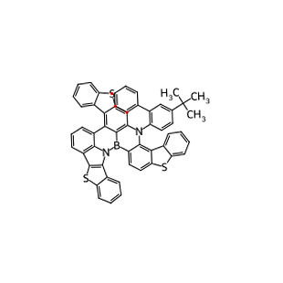 CC(C)(C)c1ccc(N2c3cc4sc5ccccc5c4c4c3B(c3ccc5sc6ccccc6c5c32)n2c3c-4cccc3c3sc4ccccc4c32)c(-c2ccccc2)c1